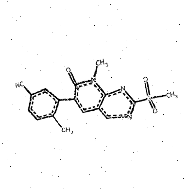 Cc1ccc(C#N)cc1-c1cc2cnc(S(C)(=O)=O)nc2n(C)c1=O